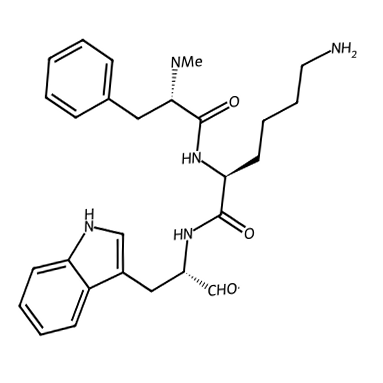 CN[C@@H](Cc1ccccc1)C(=O)N[C@@H](CCCCN)C(=O)N[C@H]([C]=O)Cc1c[nH]c2ccccc12